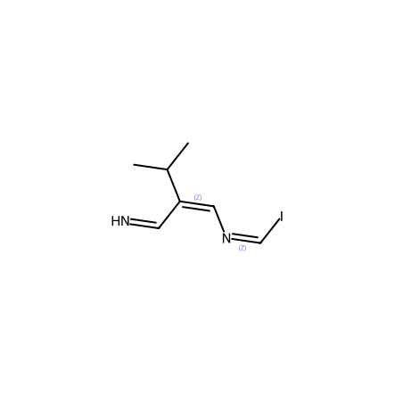 CC(C)/C(C=N)=C/N=C\I